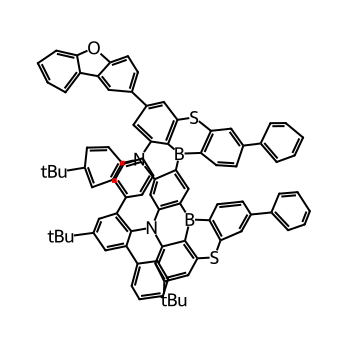 CC(C)(C)c1ccc(N2c3cc4c(cc3B3c5ccc(-c6ccccc6)cc5Sc5cc(-c6ccc7oc8ccccc8c7c6)cc2c53)B2c3ccc(-c5ccccc5)cc3Sc3cc(C(C)(C)C)cc(c32)N4c2c(-c3ccccc3)cc(C(C)(C)C)cc2-c2ccccc2)cc1